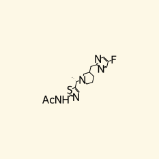 CC(=O)Nc1ncc([C@H](C)N2CCCC(Cc3ncc(F)cn3)C2)s1